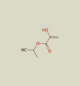 C=C(O)C(=O)OC(C)C#N